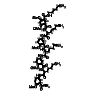 COc1ccc(NC(=O)[C@H](CCCCN)NC(=O)c2cc(NC(=O)[C@H](CCCCN)NC(=O)c3cc(NC(=O)[C@H](CCCCN)NC(=O)c4cc(C(=O)NCCCCCN)c(OC)cc4OC)ccc3OC)ccc2OC)cc1C(N)=O